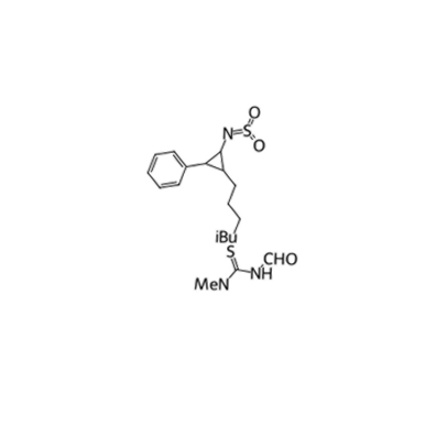 CCC(C)CCCC1C(N=S(=O)=O)C1c1ccccc1.CNC(=S)NC=O